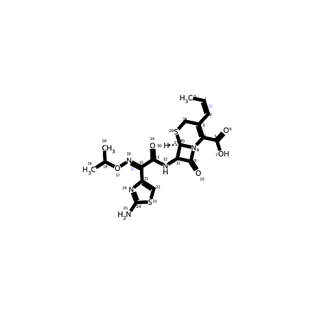 C/C=C\C1=C(C(=O)O)N2C(=O)C(NC(=O)/C(=N/OC(C)C)c3csc(N)n3)[C@H]2SC1